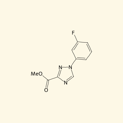 COC(=O)c1ncn(-c2cccc(F)c2)n1